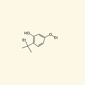 CCOc1ccc(C(C)(C)CC)c(O)c1